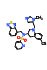 Cn1cncc1CN1CC(N(Cc2cccc3nsnc23)S(=O)(=O)c2ccccn2)Cc2cc(C#N)ccc21